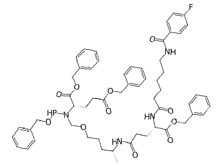 C[C@H](CCCOCN(POCc1ccccc1)[C@@H](CCC(=O)OCc1ccccc1)C(=O)OCc1ccccc1)NC(=O)CC[C@H](NC(=O)CCCCCNC(=O)c1ccc(F)cc1)C(=O)OCc1ccccc1